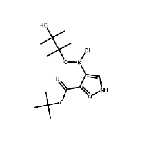 CC(C)(C)OC(=O)c1n[nH]cc1B(O)OC(C)(C)C(C)(C)O